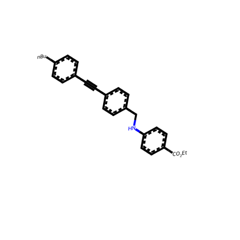 CCCCc1ccc(C#Cc2ccc(CNc3ccc(C(=O)OCC)cc3)cc2)cc1